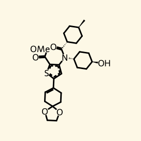 COC(=O)c1sc(C2=CCC3(CC2)OCCO3)cc1N(C(=O)[C@H]1CC[C@H](C)CC1)[C@H]1CC[C@H](O)CC1